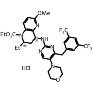 CCOC(=O)N1c2ccc(OC)nc2[C@@H](Nc2ncc(N3CCOCC3)c(Cc3cc(C(F)(F)F)cc(C(F)(F)F)c3)n2)C[C@H]1CC.Cl